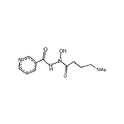 CSCCCC(=O)N(O)NC(=O)c1cccnc1